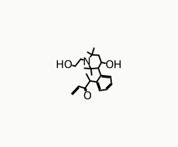 C=CC(=O)C(C)c1ccccc1C1C(O)CC(C)(C)N(CCO)C1(C)C